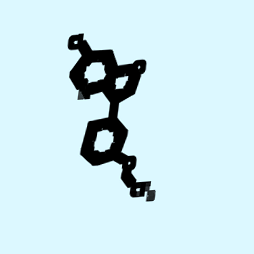 FC(F)(F)COc1cccc(-c2coc3cc(Cl)cnc23)c1